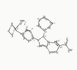 NC1(c2ccc(C3N=C4C=CC(C(=O)O)=NN4C3c3ccccc3)cc2)CCC1